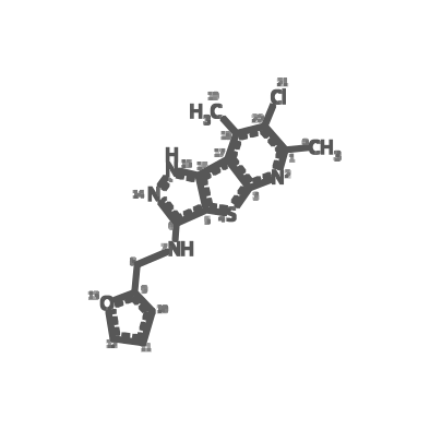 Cc1nc2sc3c(NCc4ccco4)n[nH]c3c2c(C)c1Cl